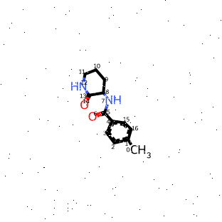 Cc1ccc(C(=O)NC2CCCNC2=O)cc1